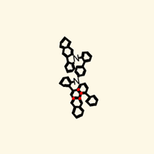 c1ccc(-c2ccc(N(c3ccc(-c4ccccc4-n4c5ccccc5c5cc6ccccc6cc54)cc3)c3ccccc3-c3ccccc3)cc2-c2ccc3ccccc3c2)cc1